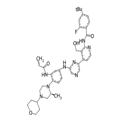 C=CC(=O)Nc1cc(Nc2cncc(-c3ccnc(NC(=O)c4ccc(C(C)(C)C)cc4F)c3CO)n2)ccc1N1CCN(C2CCOCC2)C[C@@H]1C